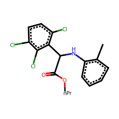 CCCOC(=O)C(Nc1ccccc1C)c1c(Cl)ccc(Cl)c1Cl